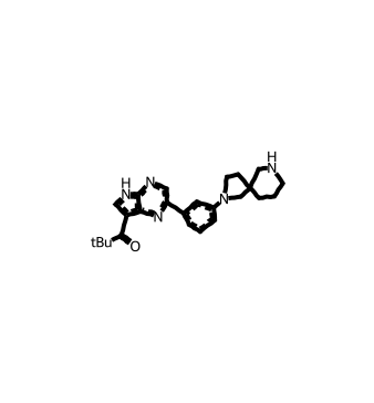 CC(C)(C)C(=O)c1c[nH]c2ncc(-c3cccc(N4CCC5(CCCNC5)C4)c3)nc12